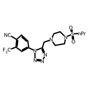 CCCS(=O)(=O)N1CCN(Cc2nnnn2-c2ccc(C#N)c(C(F)(F)F)c2)CC1